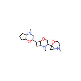 CN1CC(C2CC3C2OCC(C24CC2N(C)CCO4)N3C)OC2CCCC21